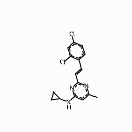 Cc1cc(NC2CC2)nc(/C=C/c2ccc(Cl)cc2Cl)n1